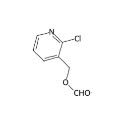 O=[C]OCc1cccnc1Cl